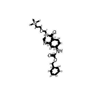 C[Si](C)(C)CCOCn1cnc2cc(NC(=O)OCc3ccccc3)ccc2c1=O